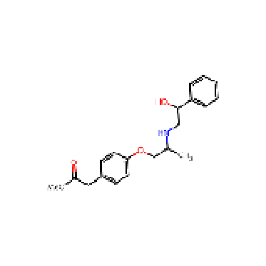 COC(=O)Cc1ccc(OCC(C)NCC(O)c2ccccc2)cc1